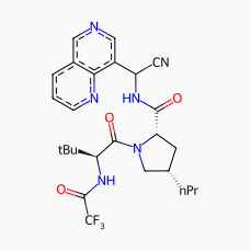 CCC[C@H]1C[C@@H](C(=O)NC(C#N)c2cncc3cccnc23)N(C(=O)[C@@H](NC(=O)C(F)(F)F)C(C)(C)C)C1